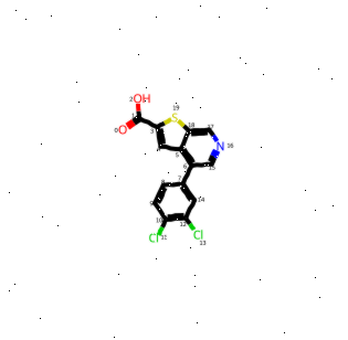 O=C(O)c1cc2c(-c3ccc(Cl)c(Cl)c3)cncc2s1